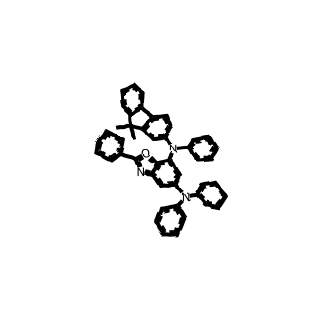 CC1(C)c2ccccc2-c2ccc(N(c3ccccc3)c3cc(N(c4ccccc4)c4ccccc4)cc4nc(-c5ccccc5)oc34)cc21